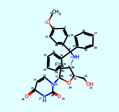 COc1ccc(C(N[C@H]2[C@@H](F)[C@H](n3ccc(=O)[nH]c3=O)O[C@@H]2CO)(c2ccccc2)c2ccccc2)cc1